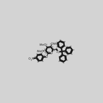 CO[C@H]1[C@@H](OC)[C@@H](COC(c2ccccc2)(c2ccccc2)c2ccccc2)O[C@@H](Oc2ccc([N+](=O)[O-])cc2)[C@@H]1OC